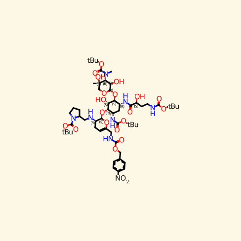 CN(C(=O)OC(C)(C)C)[C@@H]1[C@@H](O)[C@@H](O[C@@H]2[C@@H](O)[C@H](O[C@H]3OC(CNC(=O)OCc4ccc([N+](=O)[O-])cc4)=CC[C@H]3NCC3CCCN3C(=O)OC(C)(C)C)[C@@H](NC(=O)OC(C)(C)C)C[C@H]2NC(=O)[C@@H](O)CCNC(=O)OC(C)(C)C)OC[C@]1(C)O